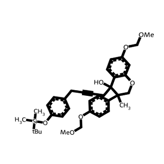 COCOc1ccc(C2(C)COc3cc(OCOC)ccc3C2(O)CC#CCc2ccc(O[Si](C)(C)C(C)(C)C)cc2)cc1